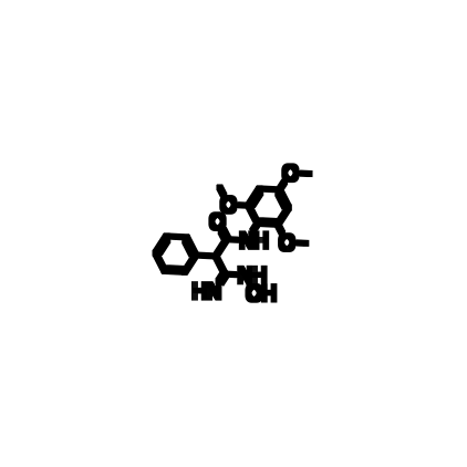 COc1cc(OC)c(NC(=O)C(C(=N)NO)c2ccccc2)c(OC)c1